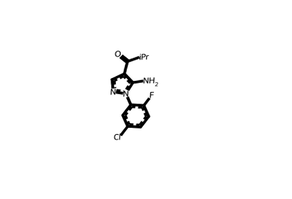 CC(C)C(=O)c1cnn(-c2cc(Cl)ccc2F)c1N